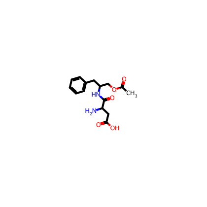 CC(=O)OCC(Cc1ccccc1)NC(=O)C(N)CC(=O)O